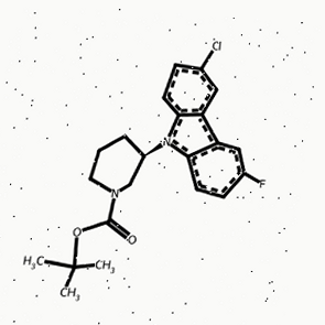 CC(C)(C)OC(=O)N1CCC[C@@H](n2c3ccc(F)cc3c3cc(Cl)ccc32)C1